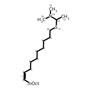 CCCCCCCC/C=C\CCCCCCCCSC(C)N(C)C